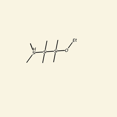 CCO[Si](C)(C)[Si](C)(C)[SiH](C)C